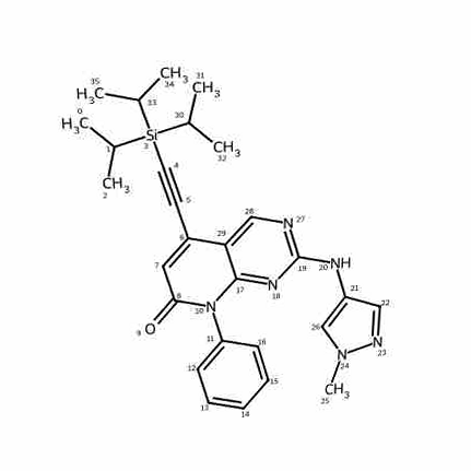 CC(C)[Si](C#Cc1cc(=O)n(-c2ccccc2)c2nc(Nc3cnn(C)c3)ncc12)(C(C)C)C(C)C